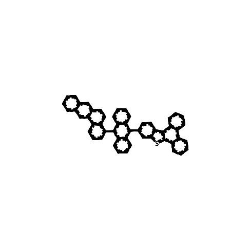 c1ccc2cc3c(ccc4c(-c5c6ccccc6c(-c6ccc7c(c6)sc6c8ccccc8c8ccccc8c76)c6ccccc56)cccc43)cc2c1